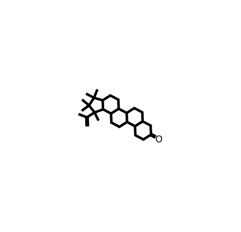 C=C(C)C1(C)C2C3CCC4C5CCC(=O)CC5CCC4C3CCC2C(C)(C)C1(C)C